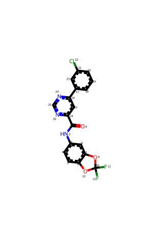 O=C(Nc1ccc2c(c1)OC(F)(F)O2)c1cc(-c2cccc(Cl)c2)ncn1